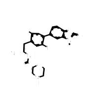 Cn1c(=O)oc2ccc(-c3cc(F)c(C[C@@H](C#N)NC(=O)[C@@H]4CNCCO4)cc3F)cc21